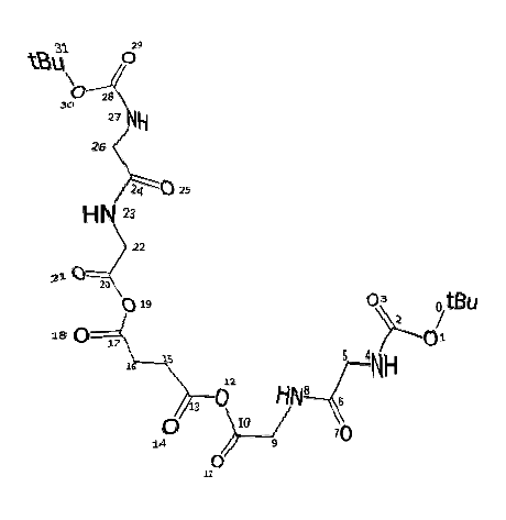 CC(C)(C)OC(=O)NCC(=O)NCC(=O)OC(=O)CCC(=O)OC(=O)CNC(=O)CNC(=O)OC(C)(C)C